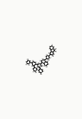 CC1(C)c2ccccc2-c2cc(-c3ccc(-c4ccc(-c5cc(-c6ccc(-c7ccccc7)cc6-c6ccccc6)nc(-c6ccccc6)n5)c5ccccc45)cc3)ccc21